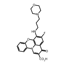 O=C(O)c1cn2c3c(c(NCCCN4CCOCC4)c(F)cc3c1=O)Oc1ccccc1-2